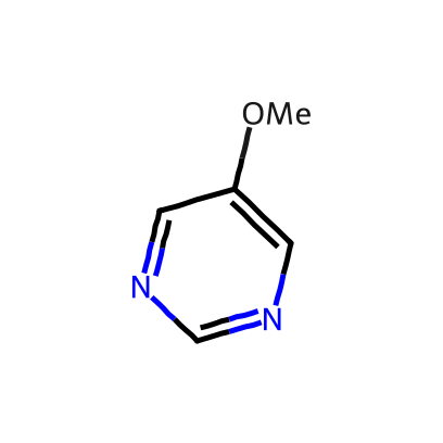 [CH2]Oc1cncnc1